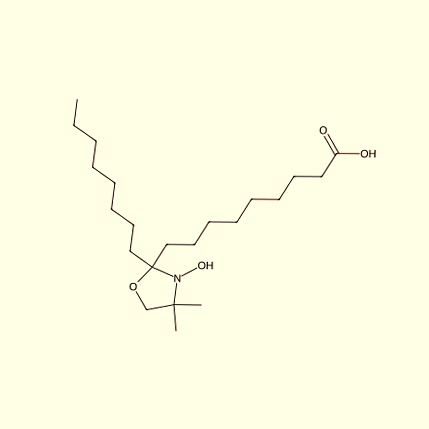 CCCCCCCCC1(CCCCCCCCC(=O)O)OCC(C)(C)N1O